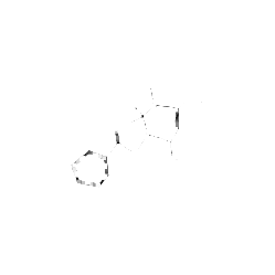 CN1C(C(F)(F)F)=CC(O)N(OC(=O)c2ccccc2)C1(O)Cl